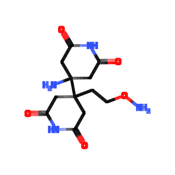 NOCCC1(C2(N)CC(=O)NC(=O)C2)CC(=O)NC(=O)C1